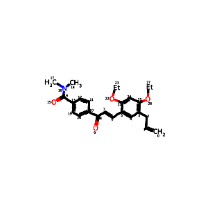 C=CCc1cc(C=CC(=O)c2ccc(C(=O)N(C)C)cc2)c(OCC)cc1OCC